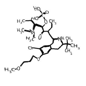 CCC(=C(OP(=O)(O)O)C(=O)C(CC)C1NC(C(C)(C)C)Cc2cc(OCCCOC)c(Cl)cc21)N(C)C